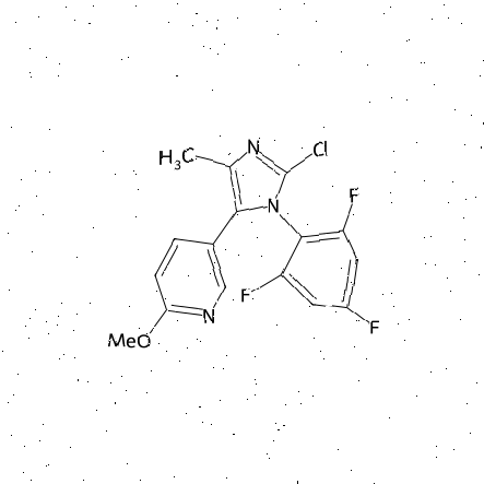 COc1ccc(-c2c(C)nc(Cl)n2-c2c(F)cc(F)cc2F)cn1